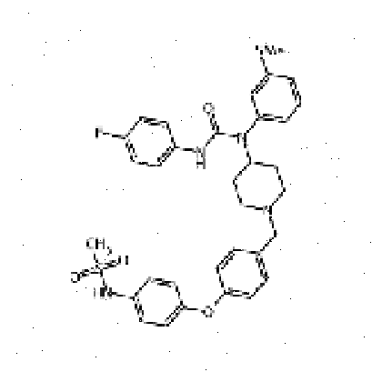 CSc1cccc(N(C(=O)Nc2ccc(F)cc2)C2CCN(Cc3ccc(Oc4ccc(NS(C)(=O)=O)cc4)cc3)CC2)c1